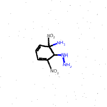 NNC1C([N+](=O)[O-])=CC=CC1(N)[N+](=O)[O-]